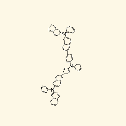 c1ccc(N(c2ccc(-c3ccc4cc(N(c5ccccc5)c5ccc6ccccc6c5)ccc4c3)cc2)c2ccc(-c3ccc4cc(N(c5ccccc5)c5ccc6ccccc6c5)ccc4c3)cc2)cc1